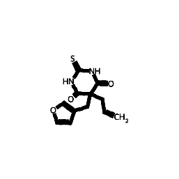 C=CCC1(Cc2ccoc2)C(=O)NC(=S)NC1=O